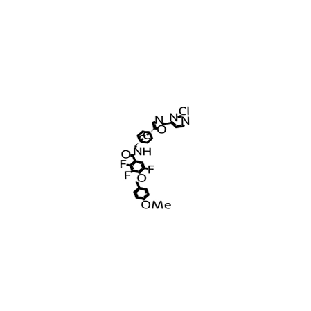 COc1ccc(COc2c(F)cc(C(=O)NC[C@]34CC[C@](c5cnc(-c6ccnc(Cl)n6)o5)(CC3)CC4)c(F)c2F)cc1